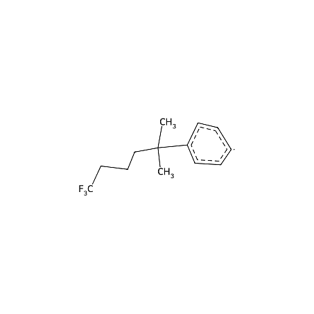 CC(C)(CCCC(F)(F)F)c1cc[c]cc1